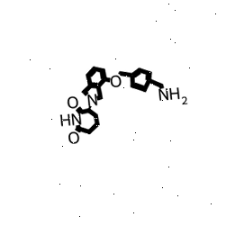 NCc1ccc(COc2cccc3c2CN([C@H]2CCCC(=O)NC2=O)C3)cc1